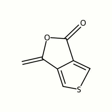 C=C1OC(=O)c2cscc21